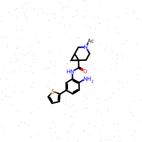 CC(=O)N1CCC2(C(=O)Nc3cc(-c4cccs4)ccc3N)CC2C1